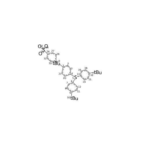 CC(C)(C)c1ccc([S+](c2ccc(C(C)(C)C)cc2)c2ccc(C(C)(C)C)cc2)cc1.O=S(=O)([O-])c1ccccc1